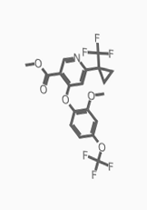 COC(=O)c1cnc(C2(C(F)(F)F)CC2)cc1Oc1ccc(OC(F)(F)F)cc1OC